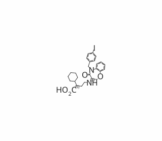 O=C(O)[C@@H](CCN[C@H]1COc2ccccc2N(Cc2ccc(I)cc2)C1=O)C1CCCCC1